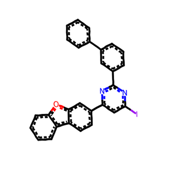 Ic1cc(-c2ccc3c(c2)oc2ccccc23)nc(-c2cccc(-c3ccccc3)c2)n1